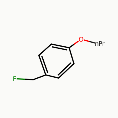 CCCOc1ccc(CF)cc1